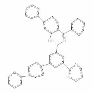 Nc1cc(-c2ccccc2)ccc1/C(=N\Cc1cc(-c2ccc(-c3ccccc3)cc2)cc(-c2ncccn2)c1)c1ccccc1